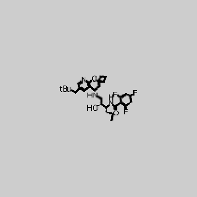 C=CC[C@H](NC(=O)c1c(F)cc(F)cc1F)[C@H](O)CN[C@H]1CC2(CCC2)Oc2ncc(CC(C)(C)C)cc21